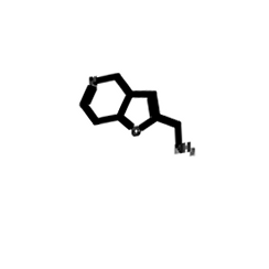 NCC1=CC2CN=CCC2O1